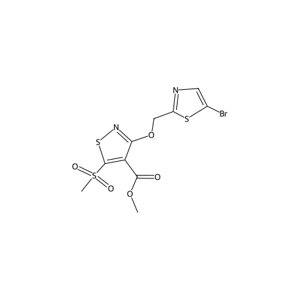 COC(=O)c1c(OCc2ncc(Br)s2)nsc1S(C)(=O)=O